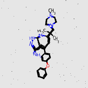 CN1CCN(CC(C)(C)c2cc(-c3ccc(Oc4ccccc4)cc3)c3c(N)n[nH]c3n2)CC1